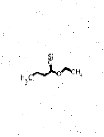 CCCC(=O)OCC.[Si]